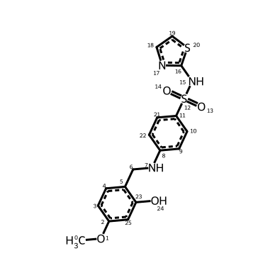 COc1ccc(CNc2ccc(S(=O)(=O)Nc3nccs3)cc2)c(O)c1